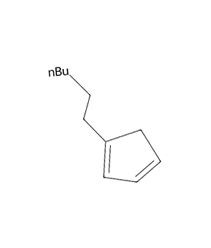 CCCCCCC1=CC=CC1